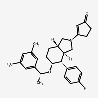 Cc1cc([C@@H](C)O[C@H]2CC[C@@H]3CN(C4=CC(=O)CC4)C[C@H]3[C@@H]2c2ccc(F)cc2)cc(C(F)(F)F)c1